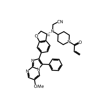 C=CC(=O)N1CCC(N(CC#N)[C@H]2COc3cc(-c4nc5ncc(OC)cn5c4-c4ccccc4)ccc32)CC1